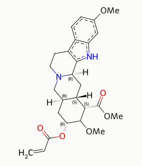 C=CC(=O)O[C@@H]1C[C@H]2CN3CCc4c([nH]c5cc(OC)ccc45)[C@H]3C[C@@H]2[C@H](C(=O)OC)C1OC